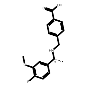 COc1cc([C@@H](C)NCc2ccc(C(=O)O)cc2)ccc1F